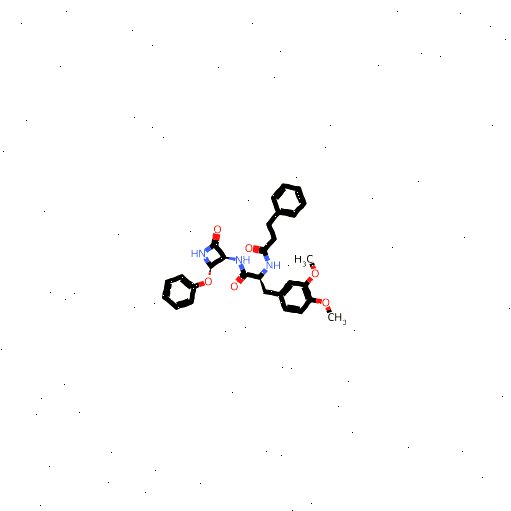 COc1ccc(C[C@H](NC(=O)CCc2ccccc2)C(=O)N[C@@H]2C(=O)N[C@H]2Oc2ccccc2)cc1OC